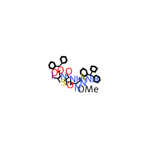 CO/N=C(/C(=O)NC1C(=O)N2C(C(=O)OC(c3ccccc3)c3ccccc3)=C(CI)CS[C@H]12)c1csc(NC(c2ccccc2)(c2ccccc2)c2ccccc2)n1